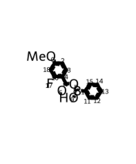 COc1ccc(C(=O)OB(O)c2ccccc2)c(F)c1